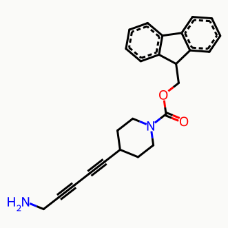 NCC#CC#CC1CCN(C(=O)OCC2c3ccccc3-c3ccccc32)CC1